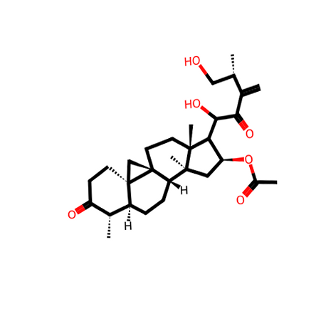 C=C(C(=O)C(O)C1[C@@H](OC(C)=O)C[C@@]2(C)[C@@H]3CC[C@H]4[C@H](C)C(=O)CC[C@@]45C[C@@]35CC[C@]12C)[C@@H](C)CO